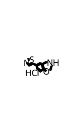 Cl.c1ncc(-c2ccc3c(c2)CNCCO3)s1